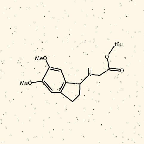 COc1cc2c(cc1OC)C(NCC(=O)OC(C)(C)C)CC2